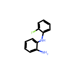 Nc1ccccc1Nc1ccccc1F